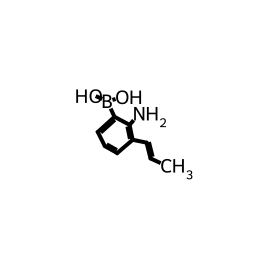 CC=Cc1cccc(B(O)O)c1N